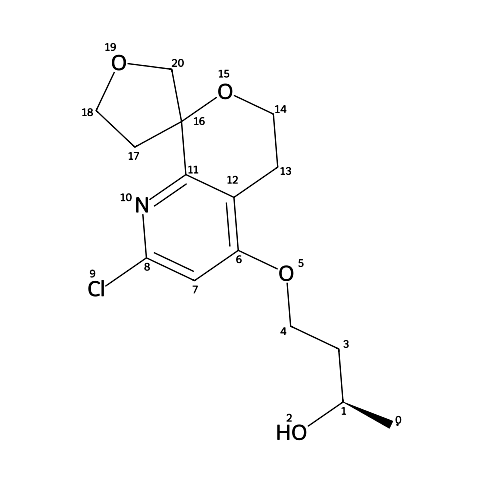 [CH2][C@@H](O)CCOc1cc(Cl)nc2c1CCOC21CCOC1